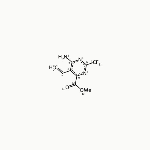 C=Cc1c(N)nc(C(F)(F)F)nc1C(=O)OC